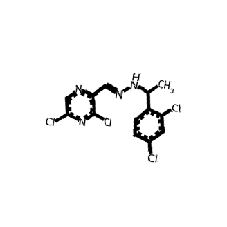 CC(NN=Cc1ncc(Cl)nc1Cl)c1ccc(Cl)cc1Cl